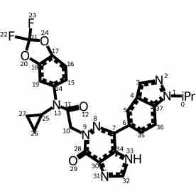 CC(C)n1ncc2cc(-c3nn(CC(=O)N(c4ccc5c(c4)OC(F)(F)O5)C4CC4)c(=O)c4nc[nH]c34)ccc21